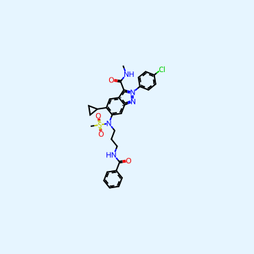 CNC(=O)c1c2cc(C3CC3)c(N(CCCNC(=O)c3ccccc3)S(C)(=O)=O)cc2nn1-c1ccc(Cl)cc1